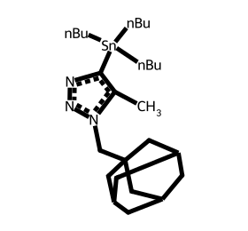 CCC[CH2][Sn]([CH2]CCC)([CH2]CCC)[c]1nnn(CC23CC4CC(CC(C4)C2)C3)c1C